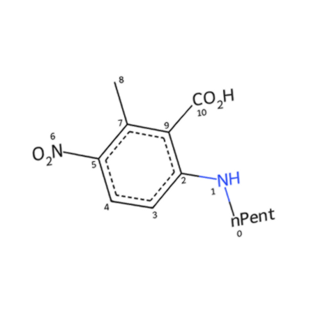 CCCCCNc1ccc([N+](=O)[O-])c(C)c1C(=O)O